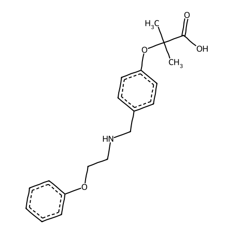 CC(C)(Oc1ccc(CNCCOc2ccccc2)cc1)C(=O)O